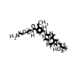 CCc1cc(Nc2nccn3c(-c4cn(CC(O)C(F)(F)F)nc4C(F)(F)F)cnc23)ccc1C(=O)NCCOCCN